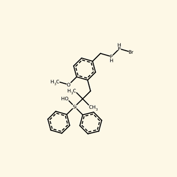 COc1ccc(CPPBr)cc1CC(C)(C)[Si](O)(c1ccccc1)c1ccccc1